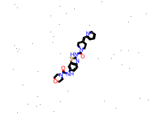 O=C(Nc1ccc2nc(NC(=O)N3CCC(=Cc4ccccn4)CC3)sc2c1)N1CCOCC1